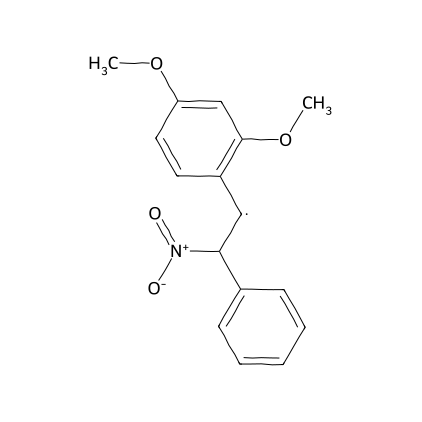 COc1ccc([CH]C(c2ccccc2)[N+](=O)[O-])c(OC)c1